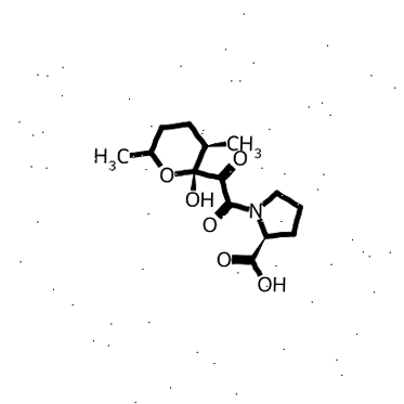 CC1CC[C@@H](C)[C@](O)(C(=O)C(=O)N2CCC[C@H]2C(=O)O)O1